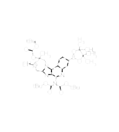 CCOCc1nc2c(N(C(=O)OC(C)(C)C)C(=O)OC(C)(C)C)nc3cc(B4OC(C)(C)C(C)(C)O4)ccc3c2n1CC(C)(C)OC(=O)OC(C)(C)C